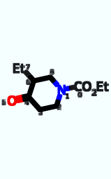 CCOC(=O)N1CCC(=O)C(CC)C1